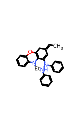 CC=C1C=C(N(Nc2ccccc2)c2ccccc2)C2=C(C1)Oc1ccccc1N2CC